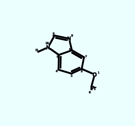 CC(C)Oc1ccc2c(c1)n[c]n2C